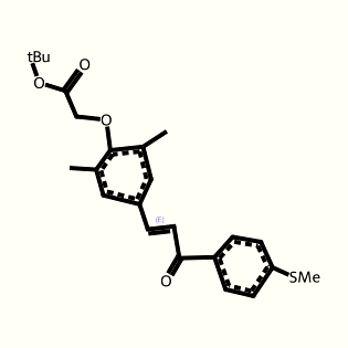 CSc1ccc(C(=O)/C=C/c2cc(C)c(OCC(=O)OC(C)(C)C)c(C)c2)cc1